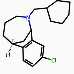 Clc1ccc2c(c1)C1C[C@@H]2CCCN1CC1CCCCC1